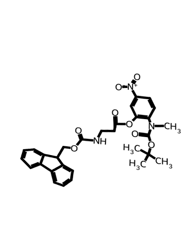 CN(C(=O)OC(C)(C)C)c1ccc([N+](=O)[O-])cc1OC(=O)CCNC(=O)OCC1c2ccccc2-c2ccccc21